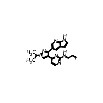 CC(C)n1cc(-c2ccnc(NCCF)n2)c(-c2cnc3[nH]ccc3c2)n1